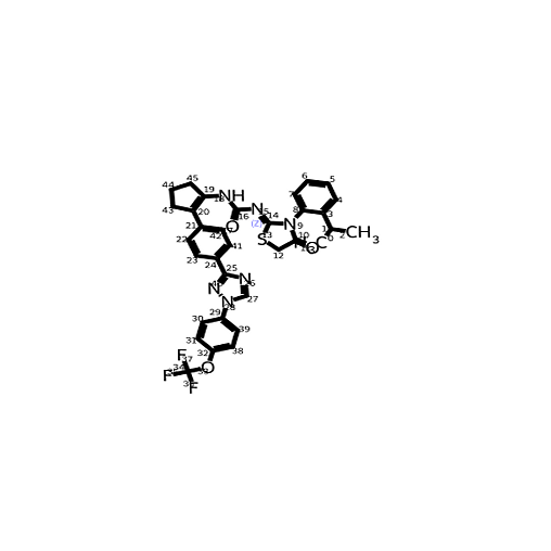 CC(C)c1ccccc1N1C(=O)CS/C1=N\C(=O)NC1=C(c2ccc(-c3ncn(-c4ccc(OC(F)(F)F)cc4)n3)cc2)CCC1